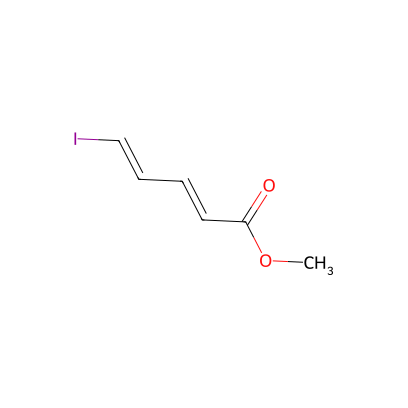 COC(=O)/C=C/C=C/I